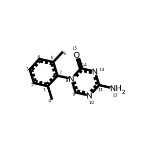 Cc1cccc(C)c1-n1cnc(N)nc1=O